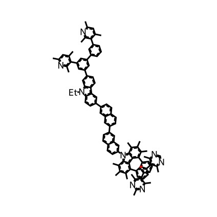 CCn1c2ccc(-c3ccc4ccc(-c5ccc6ccc(-n7c8c(C)c(C)c(C)c(-c9cccc(-c%10c(C)ncnc%10C)c9)c8c8c(-c9cccc(-c%10c(C)nc(C)nc%10C)c9)c(C)c(C)c(C)c87)cc6c5)cc4c3)cc2c2ccc(-c3cc(-c4cccc(-c5c(C)cc(C)nc5C)c4)cc(-c4c(C)cc(C)nc4C)c3)cc21